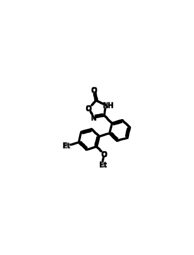 [CH2]Cc1ccc(-c2ccccc2-c2noc(=O)[nH]2)c(OCC)c1